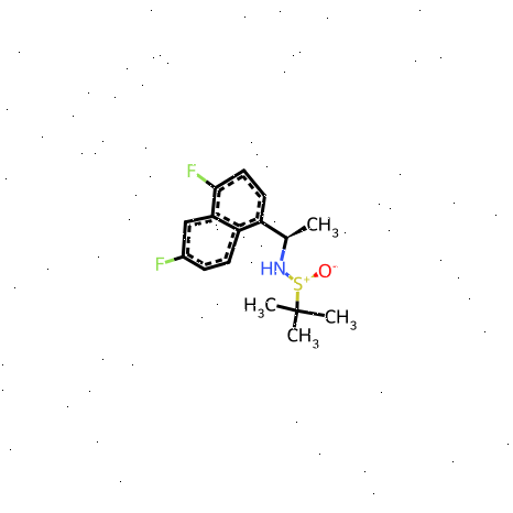 C[C@@H](N[S@@+]([O-])C(C)(C)C)c1ccc(F)c2cc(F)ccc12